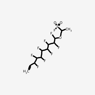 C=CC(F)C(F)C(F)C(F)C(F)C(F)C(F)C(F)OC(C)S(=O)(=O)F